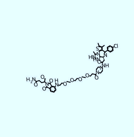 CC(=N)N1C(=N)[C@H](CC(=O)NN2CCN(C(=O)CCOCCOCCOCCOCCNc3cccc4c3C(=O)N(C(C=O)CCC(N)=O)C4=O)CC2)N=C(c2ccc(Cl)cc2)c2c1sc(C)c2C